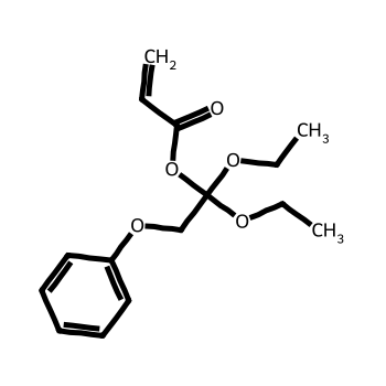 C=CC(=O)OC(COc1ccccc1)(OCC)OCC